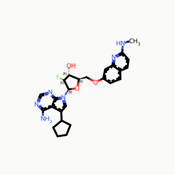 CNc1ccc2ccc(OC[C@H]3O[C@@H](n4cc(C5CCCC5)c5c(N)ncnc54)[C@@H](F)[C@@H]3O)cc2n1